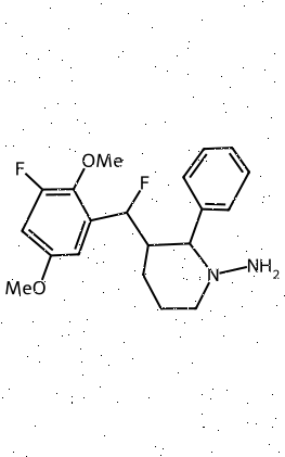 COc1cc(F)c(OC)c(C(F)C2CCCN(N)C2c2ccccc2)c1